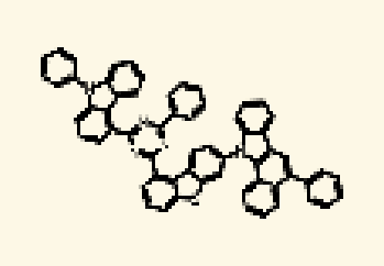 c1ccc(-c2nc(-c3cccc4sc5cc(-n6c7ccccc7c7cc(-c8ccccc8)c8ccccc8c76)ccc5c34)nc(-c3cccc4c3c3ccccc3n4-c3ccccc3)n2)cc1